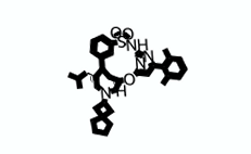 Cc1cccc(C)c1-c1cc2nc(n1)NS(=O)(=O)c1cccc(c1)C1C[C@@H](CN(C3CC4(CCCC4)C3)C[C@@H]1CC(C)C)O2